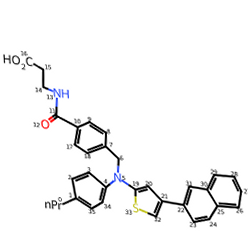 CCCc1ccc(N(Cc2ccc(C(=O)NCCC(=O)O)cc2)c2cc(-c3ccc4ccccc4c3)cs2)cc1